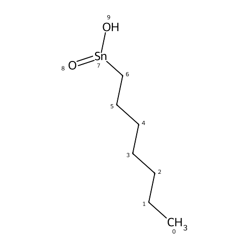 CCCCCC[CH2][Sn](=[O])[OH]